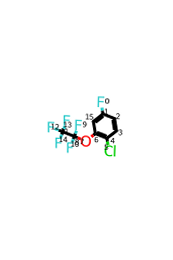 Fc1ccc(Cl)c(OC(F)(F)C(F)(F)F)c1